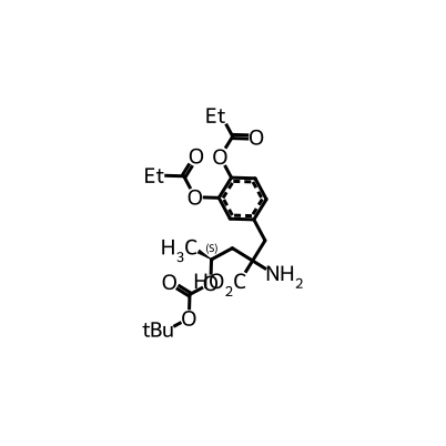 CCC(=O)Oc1ccc(CC(N)(C[C@H](C)OC(=O)OC(C)(C)C)C(=O)O)cc1OC(=O)CC